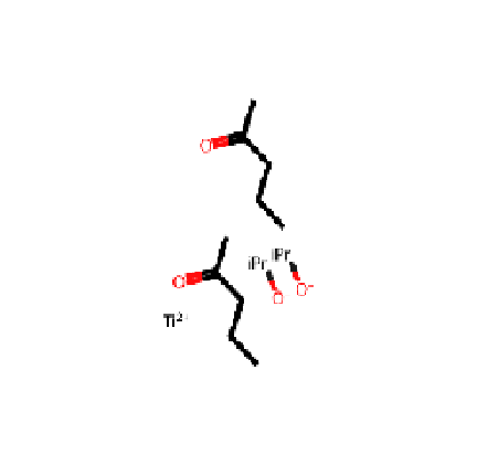 CC(C)[O-].CC(C)[O-].CCCC(C)=O.CCCC(C)=O.[Ti+2]